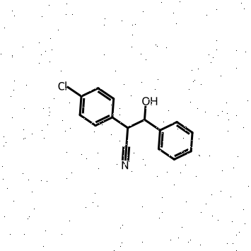 N#CC(c1ccc(Cl)cc1)C(O)c1ccccc1